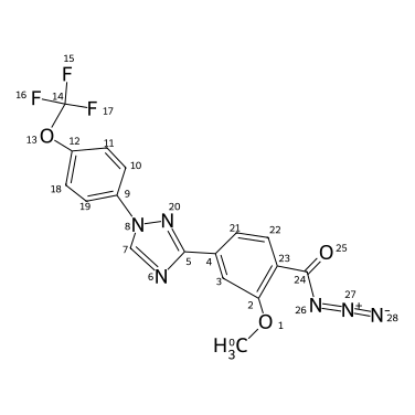 COc1cc(-c2ncn(-c3ccc(OC(F)(F)F)cc3)n2)ccc1C(=O)N=[N+]=[N-]